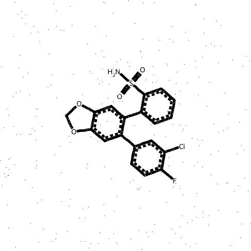 NS(=O)(=O)c1ccccc1-c1cc2c(cc1-c1ccc(F)c(Cl)c1)OCO2